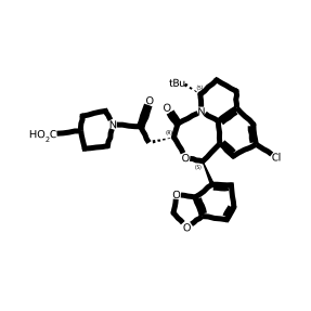 CC(C)(C)[C@@H]1CCc2cc(Cl)cc3c2N1C(=O)[C@@H](CC(=O)N1CCC(C(=O)O)CC1)O[C@@H]3c1cccc2c1OCO2